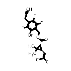 C#CCc1c(F)c(F)c(COC(=O)[C@@H]2[C@@H](C=C(Cl)Cl)C2(C)C)c(Br)c1F